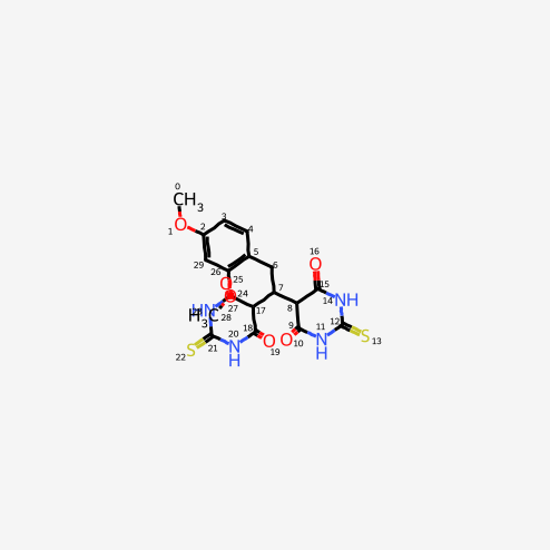 COc1ccc(CC(C2C(=O)NC(=S)NC2=O)C2C(=O)NC(=S)NC2=O)c(OC)c1